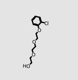 OCCOCCOCCOc1ccccc1Cl